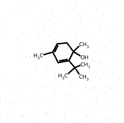 CC1=CCC(C)(O)C(C(C)(C)C)=C1